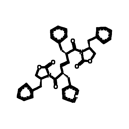 O=C1OC[C@H](Cc2ccccc2)N1C(=O)[C@H](/C=C/[C@H](Cc1ccccc1)C(=O)N1C(=O)OC[C@@H]1Cc1ccccc1)Cc1ccccc1